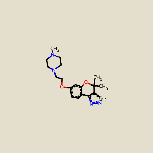 CN1CCN(CCOc2ccc3c(c2)OC(C)(C)c2[se]nnc2-3)CC1